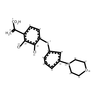 C=C(C(=O)O)c1ccc(Sc2cccc(N3CCOCC3)c2)c(Cl)c1Cl